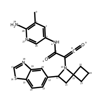 Cc1cc(NC(=O)C(=C=O)N2C(c3ccc4scnc4c3)CC23CCC3)cnc1N